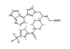 N#CCC[C@H](Cn1cc(-c2ncnc3[nH]ccc23)cn1)N1CCN(C(=O)c2nc(C(F)(F)F)cs2)CC1